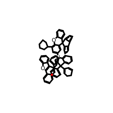 C1=CC(C2(c3ccccc3N(C=Cc3cc4ccccc4c4oc5ccccc5c34)c3cc(C4CCCCC4)c4c(c3)C3(c5ccccc5O4)c4ccccc4-c4ccccc43)c3ccccc3-c3ccccc32)=CCC1